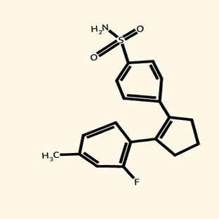 Cc1ccc(C2=C(c3ccc(S(N)(=O)=O)cc3)CCC2)c(F)c1